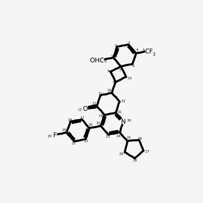 O=CC1=CC=C(C(F)(F)F)CC12CC(C1CC(=O)c3c(-c4ccc(F)cc4)cc(C4CCCC4)nc3C1)C2